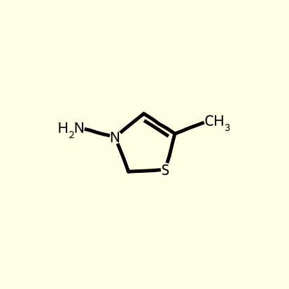 CC1=CN(N)CS1